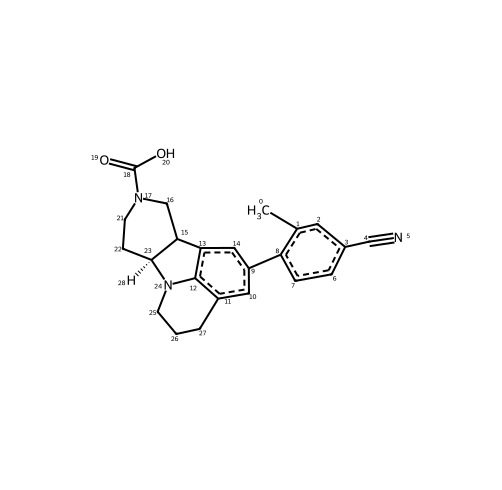 Cc1cc(C#N)ccc1-c1cc2c3c(c1)C1CN(C(=O)O)CC[C@@H]1N3CCC2